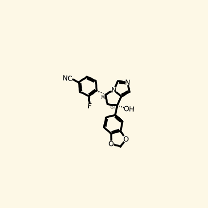 N#Cc1ccc([C@H]2C[C@](O)(c3ccc4c(c3)OCO4)c3cncn32)c(F)c1